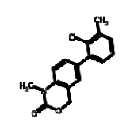 Cc1cccc(-c2ccc3c(c2)COC(=O)N3C)c1Cl